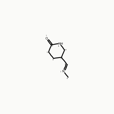 C/N=C/C1CCC(=O)NC1